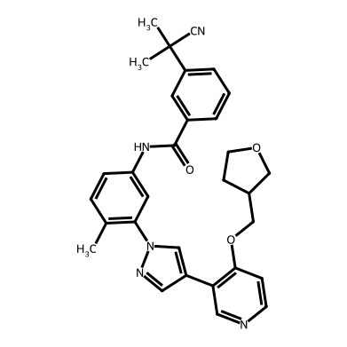 Cc1ccc(NC(=O)c2cccc(C(C)(C)C#N)c2)cc1-n1cc(-c2cnccc2OCC2CCOC2)cn1